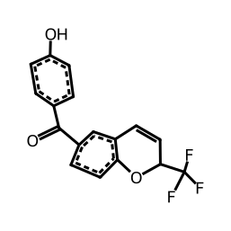 O=C(c1ccc(O)cc1)c1ccc2c(c1)C=CC(C(F)(F)F)O2